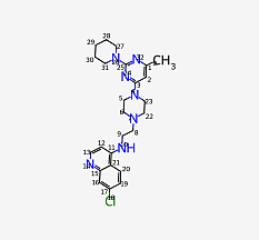 Cc1cc(N2CCN(CCNc3ccnc4cc(Cl)ccc34)CC2)nc(N2CCCCC2)n1